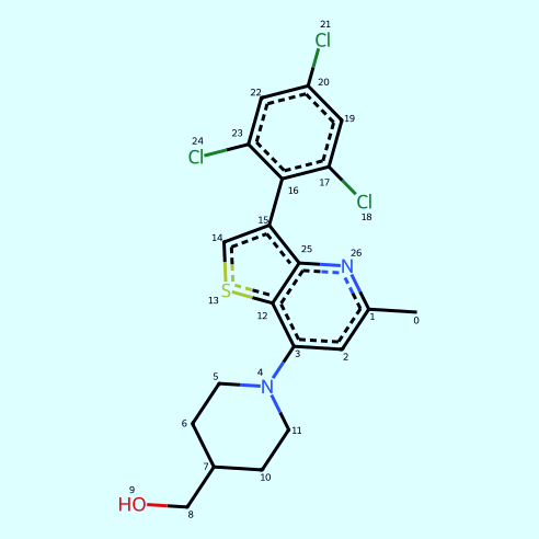 Cc1cc(N2CCC(CO)CC2)c2scc(-c3c(Cl)cc(Cl)cc3Cl)c2n1